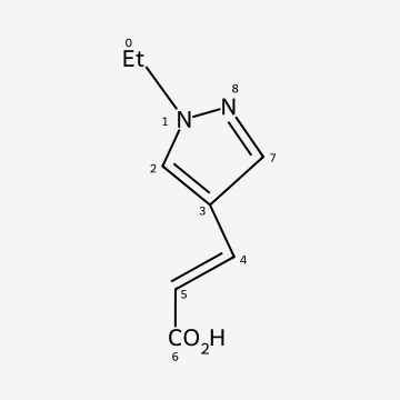 CCn1cc(C=CC(=O)O)cn1